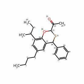 CCCCc1cc(C(C)CC)c2c(c1)C(c1ccccc1)SC(C(C)=O)O2